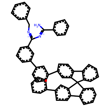 N/C(=N\C(=N/Cc1ccccc1)c1cccc(-c2cccc(-c3ccc4c(c3)C3(c5ccccc5-c5ccc(-c6ccccc6)cc53)c3ccccc3-4)c2)c1)c1ccccc1